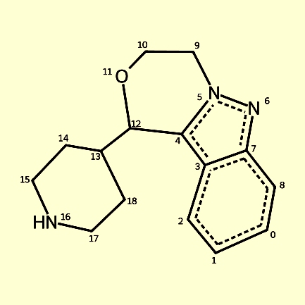 c1ccc2c3n(nc2c1)CCOC3C1CCNCC1